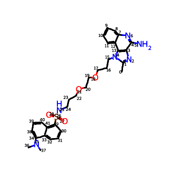 Cc1nc2c(N)nc3ccccc3c2n1CCCOCCOCCCNS(=O)(=O)c1cccc2c(N(C)C)cccc12